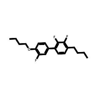 CCCCOc1ccc(-c2ccc(CCCC)c(F)c2F)cc1F